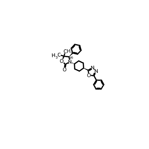 CC1(C)OC(=O)N([C@H]2CC[C@H](c3nnc(-c4ccccc4)o3)CC2)[C@@H]1c1ccccc1